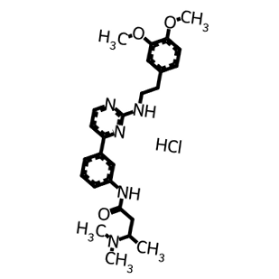 COc1ccc(CCNc2nccc(-c3cccc(NC(=O)CC(C)N(C)C)c3)n2)cc1OC.Cl